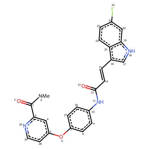 CNC(=O)c1cc(Oc2ccc(NC(=O)/C=C/c3c[nH]c4cc(F)ccc34)cc2)ccn1